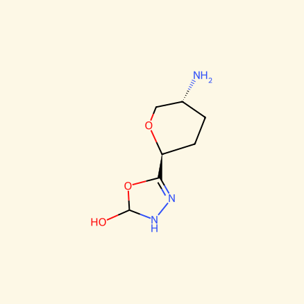 N[C@@H]1CC[C@@H](C2=NNC(O)O2)OC1